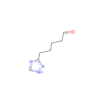 O=[C]CCCCc1nc[nH]n1